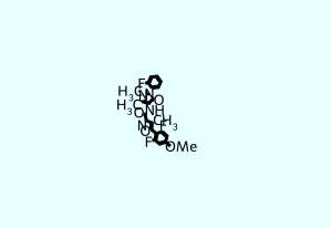 COc1cc(F)c(-c2onc(C(=O)Nc3c(C)n(C)n(-c4ccccc4F)c3=O)c2C)c(F)c1